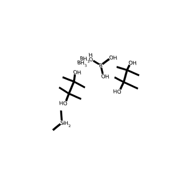 B.B.CC(C)(O)C(C)(C)O.CC(C)(O)C(C)(C)O.C[SiH2]C.OB(O)O